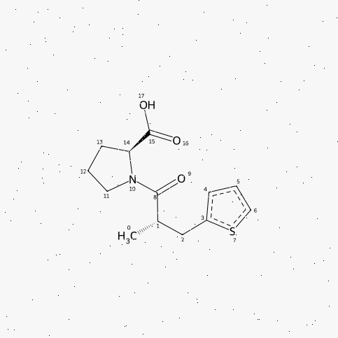 C[C@@H](Cc1cccs1)C(=O)N1CCC[C@H]1C(=O)O